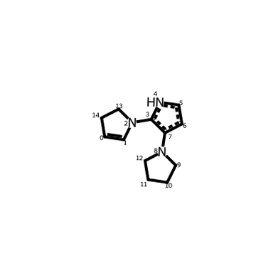 C1=CN(c2[nH]ccc2N2CCCC2)CC1